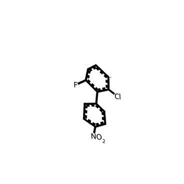 O=[N+]([O-])c1ccc(-c2c(Cl)[c]ccc2F)cc1